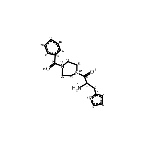 NC(Cc1cccs1)C(=O)N1CCN(C(=O)c2ccccc2)CC1